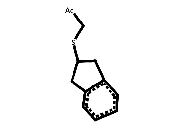 CC(=O)CSC1Cc2ccccc2C1